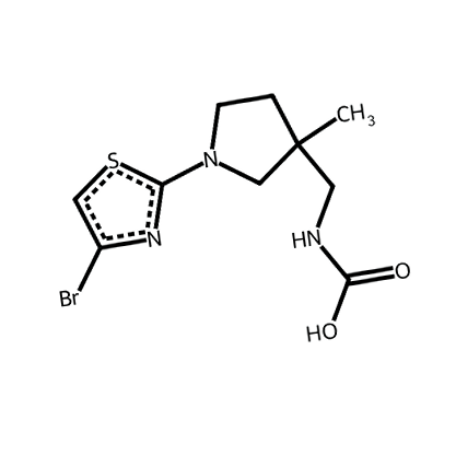 CC1(CNC(=O)O)CCN(c2nc(Br)cs2)C1